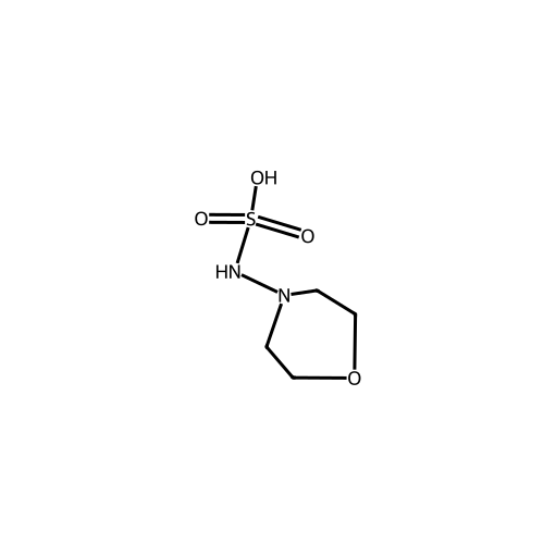 O=S(=O)(O)NN1CCOCC1